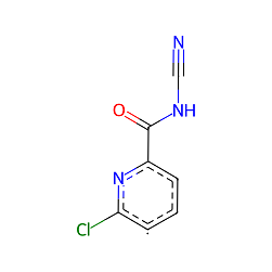 N#CNC(=O)c1cc[c]c(Cl)n1